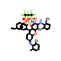 C=Cc1ccc(OS(=O)(=O)C(F)(F)C(F)(F)C(F)(F)S(=O)(=O)NS(=O)(=O)c2ccccc2-c2c3cc/c(=N/c4c(C)cccc4CC)cc-3oc3cc(Nc4c(C(C)C)cccc4C(C)C)ccc23)cc1